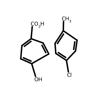 Cc1ccc(Cl)cc1.O=C(O)c1ccc(O)cc1